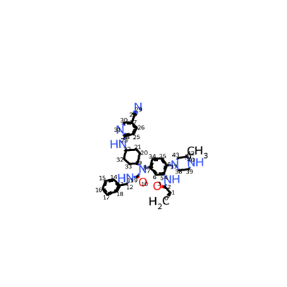 C=CC(=O)Nc1cc(N(C(=O)NCc2ccccc2)C2CCC(Nc3ccc(C#N)cn3)CC2)ccc1N1CCN[C@@H](C)C1